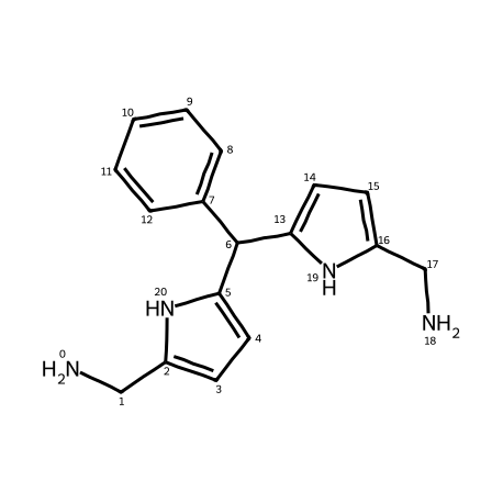 NCc1ccc(C(c2ccccc2)c2ccc(CN)[nH]2)[nH]1